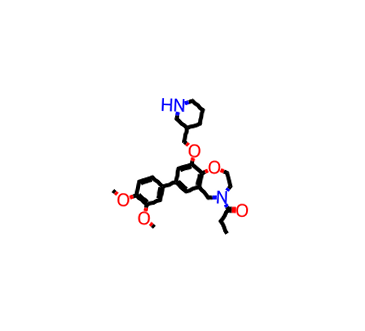 CCC(=O)N1CCOc2c(cc(-c3ccc(OC)c(OC)c3)cc2OCC2CCCNC2)C1